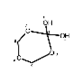 OC1(O)OCOCO1